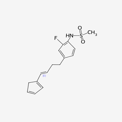 CS(=O)(=O)Nc1ccc(CC/C=C/C2=CC=CC2)cc1F